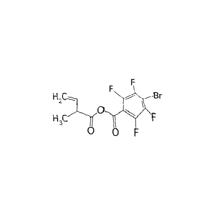 C=CC(C)C(=O)OC(=O)c1c(F)c(F)c(Br)c(F)c1F